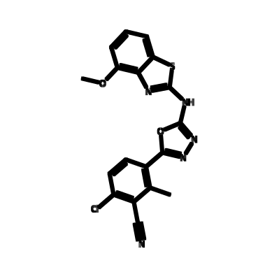 COc1cccc2sc(Nc3nnc(-c4ccc(Cl)c(C#N)c4C)o3)nc12